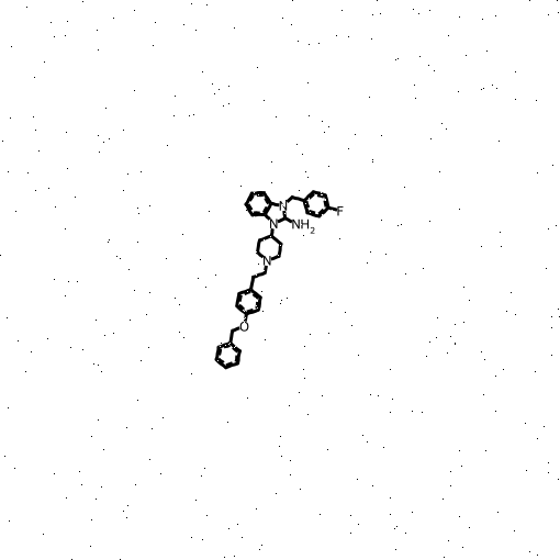 NC1N(Cc2ccc(F)cc2)c2ccccc2N1C1CCN(CCc2ccc(OCc3ccccc3)cc2)CC1